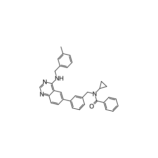 Cc1cccc(CNc2ncnc3ccc(-c4cccc(CN(C(=O)c5ccccc5)C5CC5)c4)cc23)c1